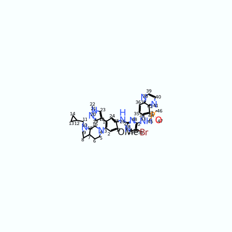 COc1cc(N2CCC3CCN(CC4CC4)C3C2)c(-c2cnn(C)c2)cc1Nc1ncc(Br)c(Nc2ccc3nccnc3c2P(C)(C)=O)n1